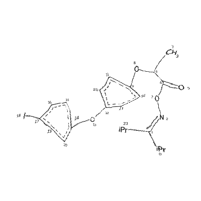 CC(C)C(=NOC(=O)C(C)Oc1ccc(Oc2ccc(I)cc2)cc1)C(C)C